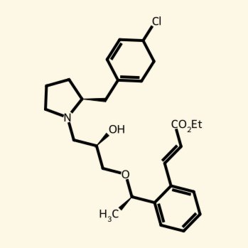 CCOC(=O)/C=C/c1ccccc1[C@@H](C)OC[C@H](O)CN1CCC[C@H]1CC1=CCC(Cl)C=C1